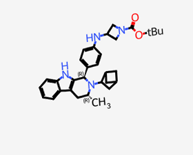 C[C@@H]1Cc2c([nH]c3ccccc23)[C@@H](c2ccc(NC3CN(C(=O)OC(C)(C)C)C3)cc2)N1C1CC2CC1C2